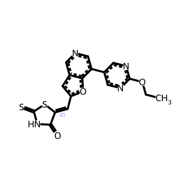 CCOc1ncc(-c2cncc3cc(/C=C4\SC(=S)NC4=O)oc23)cn1